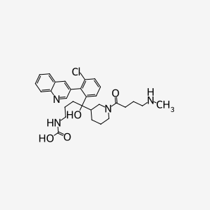 CNCCCC(=O)N1CCCC(C(O)(CCCNC(=O)O)c2cccc(Cl)c2-c2cnc3ccccc3c2)C1